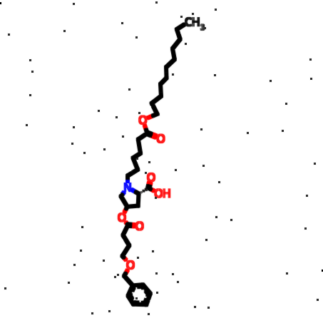 CCCCCCCCCCCOC(=O)CCCCCN1CC(OC(=O)CCCOCc2ccccc2)C[C@H]1C(=O)O